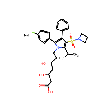 CC(C)c1c(S(=O)(=O)N2CCC2)c(-c2ccccc2)c(-c2ccc(F)cc2)n1CC[C@@H](O)C[C@@H](O)CC(=O)O.[NaH]